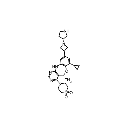 C[C@H]1Oc2c(cc(C3CN([C@@H]4CCNC4)C3)cc2C2CC2)Nc2ncnc(N3CCS(=O)(=O)CC3)c21